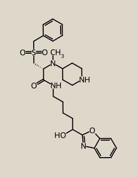 CN(C1CCNCC1)[C@@H](CS(=O)(=O)Cc1ccccc1)C(=O)NCCCCC(O)c1nc2ccccc2o1